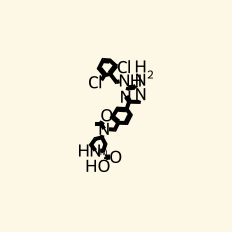 CC(=O)N(Cc1ccc(-c2cnc(N)c(NCc3c(Cl)cccc3Cl)n2)cc1)C1CCN[C@@H](C(=O)O)C1